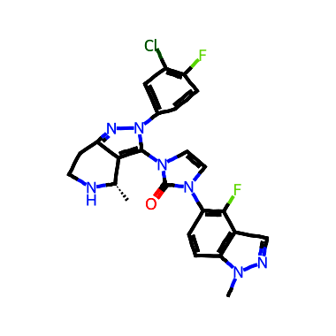 C[C@@H]1NCCc2nn(-c3ccc(F)c(Cl)c3)c(-n3ccn(-c4ccc5c(cnn5C)c4F)c3=O)c21